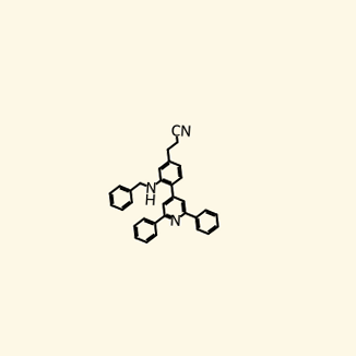 N#CCCc1ccc(-c2cc(-c3ccccc3)nc(-c3ccccc3)c2)c(NCc2ccccc2)c1